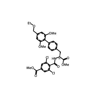 CCOCc1cc(OC)c(-c2ccc(C[C@H](NC(=O)c3c(Cl)cc(C(=O)OC)cc3Cl)C(=O)OC)cc2)c(OC)c1